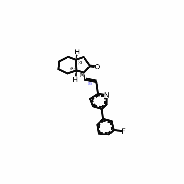 O=C1C[C@H]2CCCC[C@H]2[C@@H]1/C=C/c1ccc(-c2cccc(F)c2)cn1